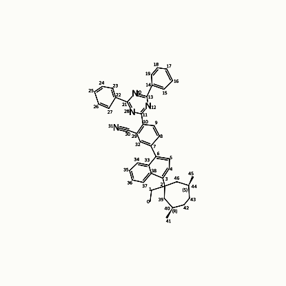 CCC1(c2ccc(-c3ccc(-c4nc(-c5ccccc5)nc(-c5ccccc5)n4)c(C#N)c3)c3ccccc23)C[C@H](C)CC[C@H](C)C1